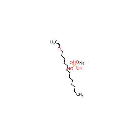 C=COCCCCCCCCCCCCC.O=P(O)(O)O.[NaH]